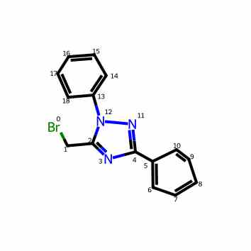 BrCc1nc(-c2ccccc2)nn1-c1ccccc1